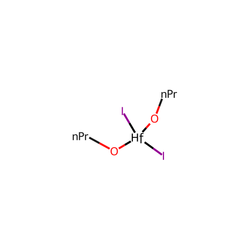 CCC[O][Hf]([I])([I])[O]CCC